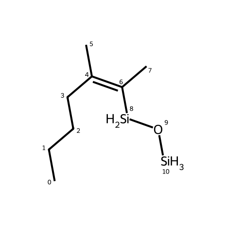 CCCCC(C)=C(C)[SiH2]O[SiH3]